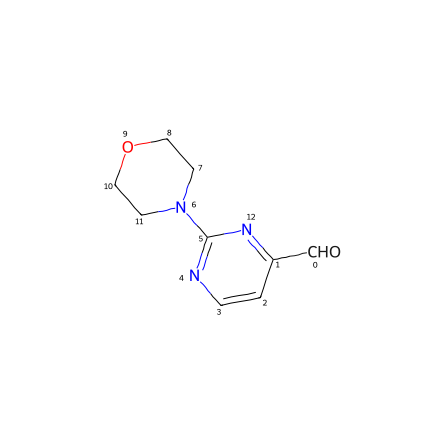 O=Cc1ccnc(N2CCOCC2)n1